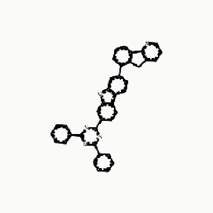 c1ccc(-c2nc(-c3ccccc3)nc(-c3ccc4c(c3)oc3cc(-c5cccc6c5Cc5cccnc5-6)ccc34)n2)cc1